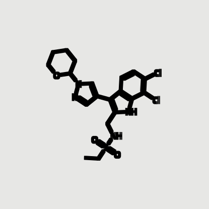 CCS(=O)(=O)NCc1[nH]c2c(Cl)c(Cl)ccc2c1-c1cnn(C2CCCCO2)c1